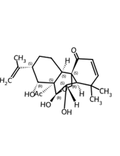 C=C(C)[C@@H]1CC[C@H]2[C@@]34CO[C@@](O)([C@@H](O)[C@@H]3C(C)(C)C=CC4=O)[C@@]2(C(C)=O)[C@@H]1O